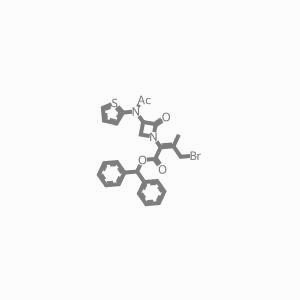 CC(=O)N(c1cccs1)C1CN(C(C(=O)OC(c2ccccc2)c2ccccc2)=C(C)CBr)C1=O